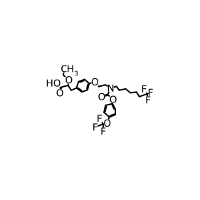 CCOC(Cc1ccc(OCCN(CCCCCCC(F)(F)F)C(=O)Oc2ccc(OC(F)(F)F)cc2)cc1)C(=O)O